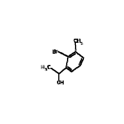 Cc1cccc(C(C)O)c1Br